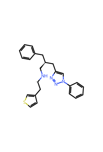 [CH](Cc1ccsc1)NC[C@@H](Cc1ccccc1)Cc1cn(-c2ccccc2)nn1